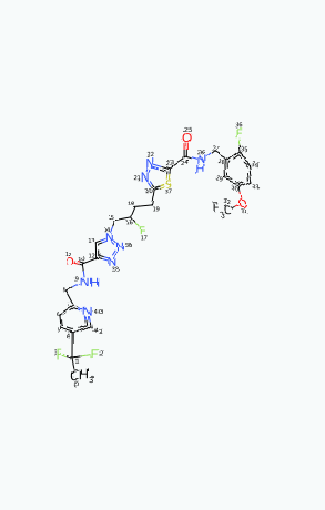 CC(F)(F)c1ccc(CNC(=O)c2cn(CC(F)CCc3nnc(C(=O)NCc4cc(OC(F)(F)F)ccc4F)s3)nn2)nc1